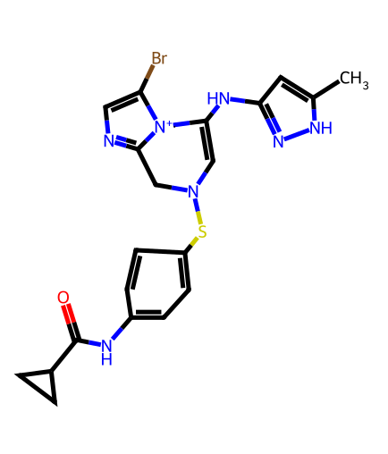 Cc1cc(NC2=CN(Sc3ccc(NC(=O)C4CC4)cc3)CC3=NC=C(Br)[N+]23)n[nH]1